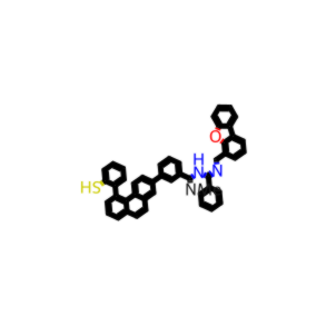 CNC(N/C(=N\Cc1cccc2c1oc1ccccc12)c1ccccc1)c1cccc(-c2ccc3c(ccc4cccc(-c5ccccc5S)c43)c2)c1